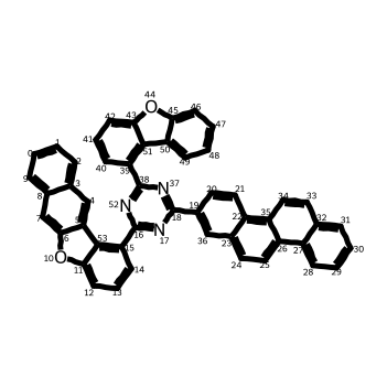 c1ccc2cc3c(cc2c1)oc1cccc(-c2nc(-c4ccc5c(ccc6c7ccccc7ccc56)c4)nc(-c4cccc5oc6ccccc6c45)n2)c13